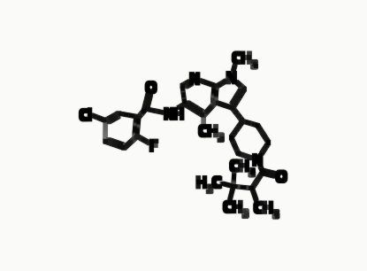 Cc1c(NC(=O)c2cc(Cl)ccc2F)cnc2c1c(C1CCN(C(=O)C(C)C(C)(C)C)CC1)cn2C